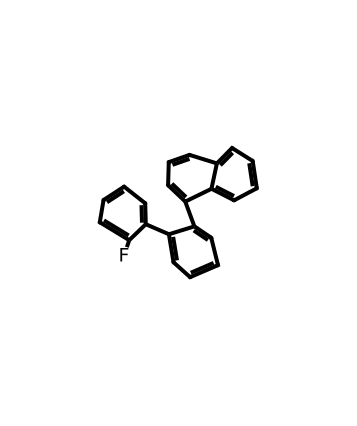 Fc1ccccc1-c1ccccc1-c1cccc2ccccc12